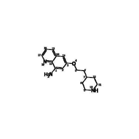 Nc1cc(OCCC2CCNCC2)cc2cccnc12